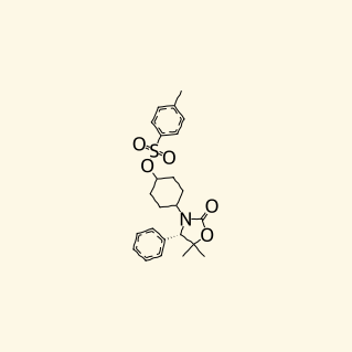 Cc1ccc(S(=O)(=O)OC2CCC(N3C(=O)OC(C)(C)[C@@H]3c3ccccc3)CC2)cc1